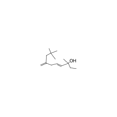 C=C(CC=CC(C)(O)CC)CC(C)(C)C